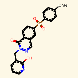 COc1ccc(S(=O)(=O)c2ccc3c(=O)n(Cc4cccnc4O)ncc3c2)cc1